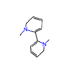 CN1CC=CC=C1C1=CC=CCN1C